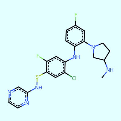 CNC1CCN(c2cc(F)ccc2Nc2cc(F)c(SNc3cnccn3)cc2Cl)C1